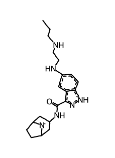 CCCNCCNc1ccc2[nH]nc(C(=O)NC3CC4CCC(C3)N4C)c2c1